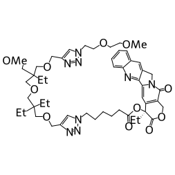 CCC(CC)(COCc1cn(CCCCCC(=O)O[C@]2(CC)C(=O)OCc3c2cc2n(c3=O)Cc3cc4ccccc4nc3-2)nn1)COCC(CC)(COC)COCc1cn(CCOCCOC)nn1